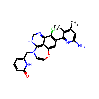 Cc1cc(N)nc(-c2cc3c4c(c2Cl)=NCNC=4N(Cc2cccc(=O)[nH]2)C=CO3)c1C(F)(F)F